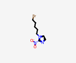 O=[N+]([O-])c1nccn1CCCCCBr